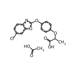 CC(=O)O.CC(Oc1ccc(Oc2nc3ccc(Cl)cc3o2)cc1)C(=O)O